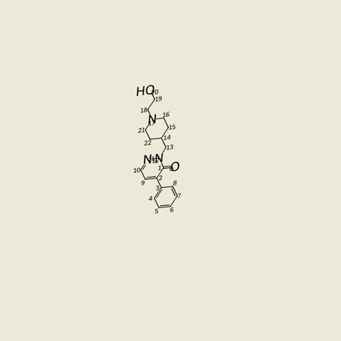 O=c1c(-c2ccccc2)ccnn1CC1CCN(CCO)CC1